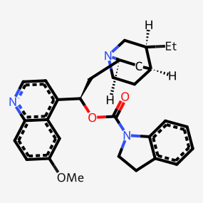 CC[C@@H]1CN2CC[C@H]1C[C@H]2C[C@@H](OC(=O)N1CCc2ccccc21)c1ccnc2ccc(OC)cc12